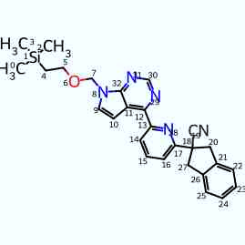 C[Si](C)(C)CCOCn1ccc2c(-c3cccc(C4(C#N)Cc5ccccc5C4)n3)ncnc21